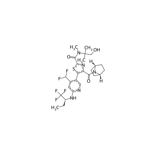 CC[C@H](Nc1cc(C(F)F)c(-c2sc(C(=O)N(C)C(C)(C)CO)nc2C(=O)N2[C@H]3CC[C@@H]2CC3)cn1)C(F)(F)F